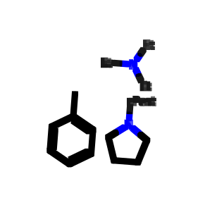 CCCCCN1CCCC1.CCN(CC)CC.Cc1ccccc1